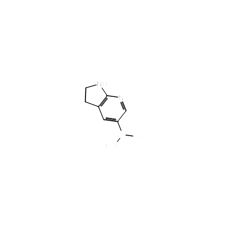 OB(O)c1cnc2c(c1)CCN2